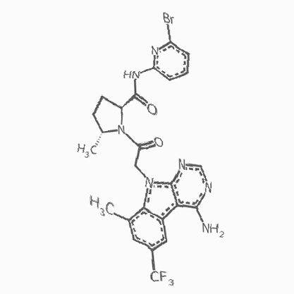 Cc1cc(C(F)(F)F)cc2c3c(N)ncnc3n(CC(=O)N3[C@H](C)CC[C@H]3C(=O)Nc3cccc(Br)n3)c12